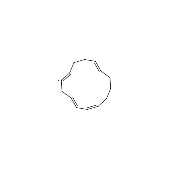 [C]1=C/CC/C=C/CCC/C=C\C=C\C/1